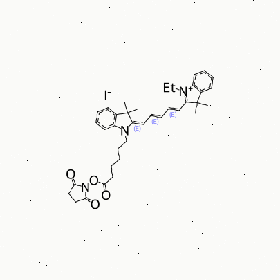 CC[N+]1=C(/C=C/C=C/C=C2/N(CCCCCC(=O)ON3C(=O)CCC3=O)c3ccccc3C2(C)C)C(C)(C)c2ccccc21.[I-]